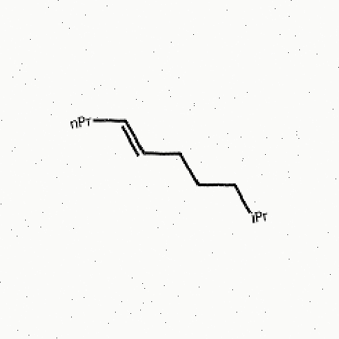 CCCC=CCCCC(C)C